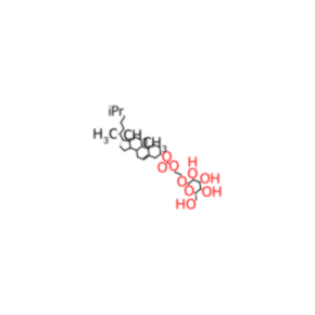 CC(C)CCC[C@@H](C)[C@H]1CCC2C3CC=C4CC(OC(=O)OCCO[C@@H]5O[C@H](CO)[C@@H](O)[C@H](O)[C@H]5O)CC[C@]4(C)C3CC[C@@]21C